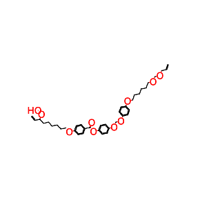 C=CCOCOCCCCCCOc1ccc(OCOc2ccc(OC(=O)c3ccc(OCCCCCCC(C=C)OO)cc3)cc2)cc1